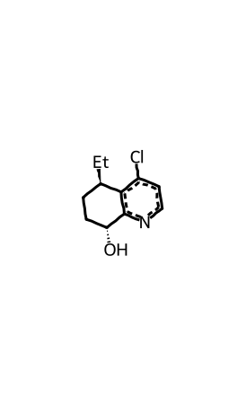 CC[C@@H]1CC[C@@H](O)c2nccc(Cl)c21